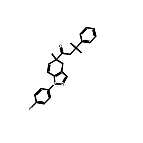 CC1(C(=O)CC(C)(C)c2ccccc2)C=Cc2c(cnn2-c2ccc(F)cc2)C1